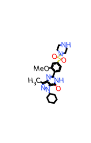 COc1cc(S(=O)(=O)N2CCNCC2)ccc1-c1nc2c(C)nn(C3CCCCC3)c2c(=O)[nH]1